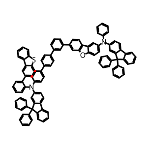 c1ccc(N(c2ccc3c(c2)C(c2ccccc2)(c2ccccc2)c2ccccc2-3)c2ccc3oc4cc(-c5cccc(-c6ccc(-c7ccc(N(c8ccc9c(c8)C(c8ccccc8)(c8ccccc8)c8ccccc8-9)c8ccccc8-c8ccc9sc%10ccccc%10c9c8)cc7)cc6)c5)ccc4c3c2)cc1